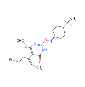 C/C=C(/CCC(C)C)c1c(OC=O)nc(ON=C2CCC(C(C)(F)F)CC2)[nH]c1=O